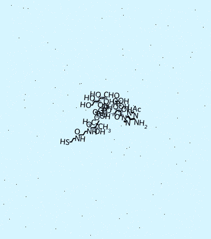 CC(=O)c1nc(N)c2ncn([C@@H]3O[C@H](COP(=O)(O)OP(=O)(O)OCC(C)(C)[C@@H](O)C(=O)NCCC(=O)NCCS)[C@@H](OP(=O)(O)O)[C@H]3O)c2n1.O=C[C@H](O)[C@@H](O)[C@H](O)[C@H](O)CO